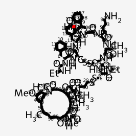 CCNC(=O)N[C@H](Cc1ccccc1)C(=O)N[C@H]1CSSC[C@@H](C(=O)N[C@@H](CSSCCC(=O)N(C)[C@@H](C)C(=O)O[C@H]2CC(=O)N(C)c3cc(cc(OC)c3Cl)C/C(C)=C/C=C/[C@@H](OC)[C@@]3(O)C[C@H](OC(=O)N3)[C@@H](C)[C@@H]3O[C@@]23C)C(=O)NCC)NC(=O)[C@H]([C@@H](C)O)NC(=O)[C@H](CCCCN)NC(=O)[C@@H](Cc2c[nH]c3ccccc23)NC(=O)[C@H](Cc2ccc(O)cc2)NC1=O